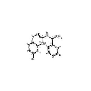 CC(NC1=NSc2ccc(F)cc2N1)c1ccccn1